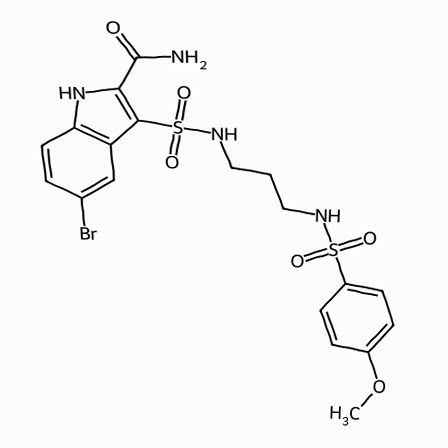 COc1ccc(S(=O)(=O)NCCCNS(=O)(=O)c2c(C(N)=O)[nH]c3ccc(Br)cc23)cc1